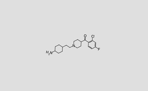 NC1CCC(CCN2CCC(C(=O)c3ccc(F)cc3Cl)CC2)CC1